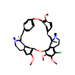 COc1ccc2cc1Oc1ccc(cc1)C[C@@]1(C)c3cc(c(OC)cc3CCN1C)Oc1c(OC)c(OC)c(Br)c3c1[C@](C)(C2)N(C)CC3